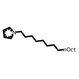 CCCCCCCCCCCCCCCCn1cccc1